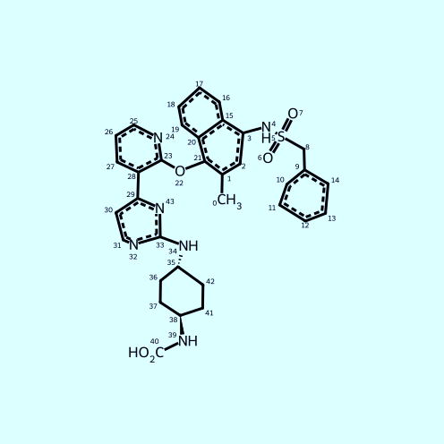 Cc1cc(NS(=O)(=O)Cc2ccccc2)c2ccccc2c1Oc1ncccc1-c1ccnc(N[C@H]2CC[C@H](NC(=O)O)CC2)n1